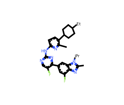 CCC1CCC(c2ccc(Nc3ncc(F)c(-c4cc(F)c5nc(C)n(C(C)C)c5c4)n3)nc2C)CC1